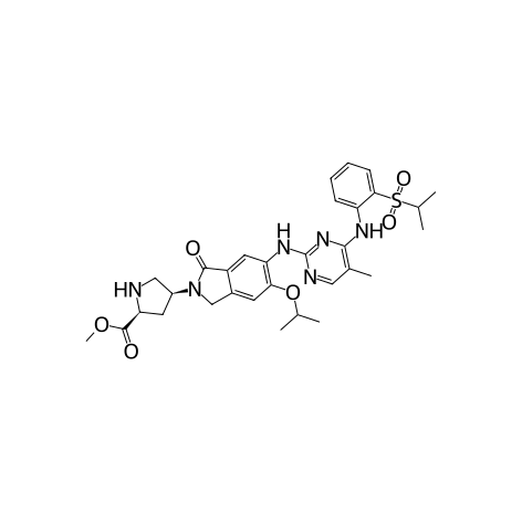 COC(=O)[C@@H]1C[C@H](N2Cc3cc(OC(C)C)c(Nc4ncc(C)c(Nc5ccccc5S(=O)(=O)C(C)C)n4)cc3C2=O)CN1